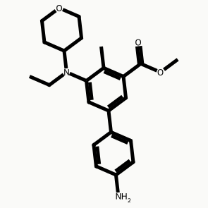 CCN(c1cc(-c2ccc(N)cc2)cc(C(=O)OC)c1C)C1CCOCC1